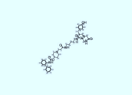 O=C(CCN1CCC(OC(=O)Nc2ccccc2-c2ccccc2)CC1)NCCCCCNS(=O)(=O)C(Cc1ccc(O)cc1)CN1CCNC(=O)C1